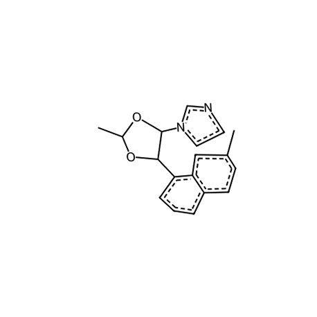 Cc1ccc2cccc(C3OC(C)OC3n3ccnc3)c2c1